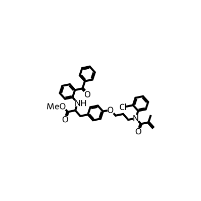 C=C(C)C(=O)N(CCCOc1ccc(CC(Nc2ccccc2C(=O)c2ccccc2)C(=O)OC)cc1)c1ccccc1Cl